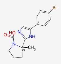 C[C@@]1(c2ncc(-c3ccc(Br)cc3)[nH]2)CCCN1C(=O)O